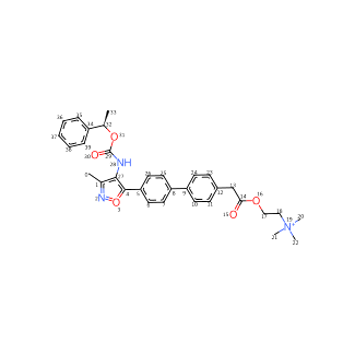 Cc1noc(-c2ccc(-c3ccc(CC(=O)OCC[N+](C)(C)C)cc3)cc2)c1NC(=O)O[C@H](C)c1ccccc1